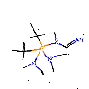 CN(C)P(N(C)C)(N(C)C=N)(C(C)(C)C)C(C)(C)C